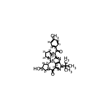 Cc1ccc(C(=O)Nc2nc3c(s2)c(C(=O)N2C[C@@H](O)C[C@H]2CN2CCCC2)nn3C(C)(C)C)cc1